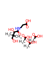 CC(=O)O.CC(=O)O.CC(=O)O.CC(C)(CO)[C@@H](O)C(=O)NCCC(=O)O